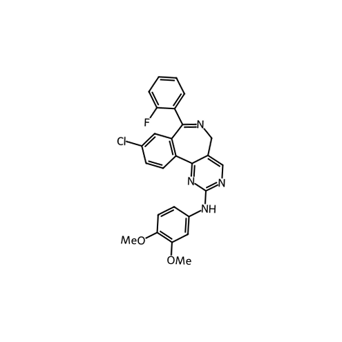 COc1ccc(Nc2ncc3c(n2)-c2ccc(Cl)cc2C(c2ccccc2F)=NC3)cc1OC